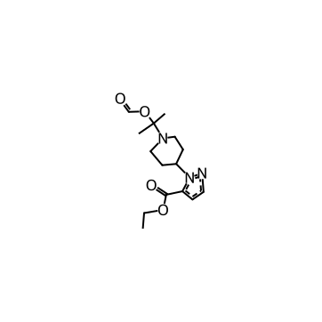 CCOC(=O)c1ccnn1C1CCN(C(C)(C)OC=O)CC1